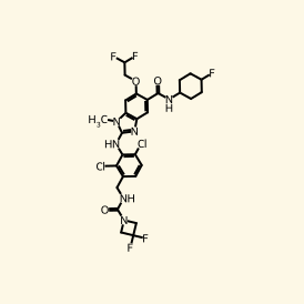 Cn1c(Nc2c(Cl)ccc(CNC(=O)N3CC(F)(F)C3)c2Cl)nc2cc(C(=O)NC3CCC(F)CC3)c(OCC(F)F)cc21